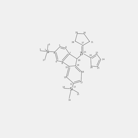 C[Si](C)(C)c1ccc2c(c1)-c1cc([Si](C)(C)C)ccc1[CH]2[Zr]([C]1=CC=CC1)=[C]1CCCC1